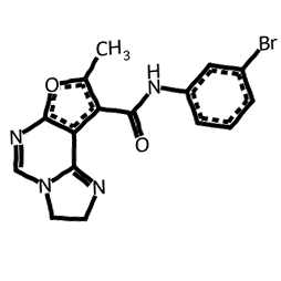 Cc1oc2c(c1C(=O)Nc1cccc(Br)c1)C1=NCCN1C=N2